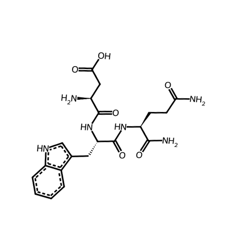 NC(=O)CC[C@H](NC(=O)[C@H](Cc1c[nH]c2ccccc12)NC(=O)[C@@H](N)CC(=O)O)C(N)=O